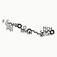 CC(c1ccccc1)C(O)Nc1nnc(CCCCc2ccc(NC(=O)Cc3cccc(CNC(O)CC(O)C(F)(F)F)c3)nn2)s1